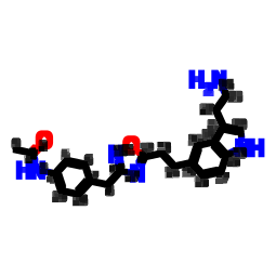 CC(=O)Nc1ccc(Cc2noc(CCc3ccc4[nH]cc(CCN)c4c3)n2)cc1